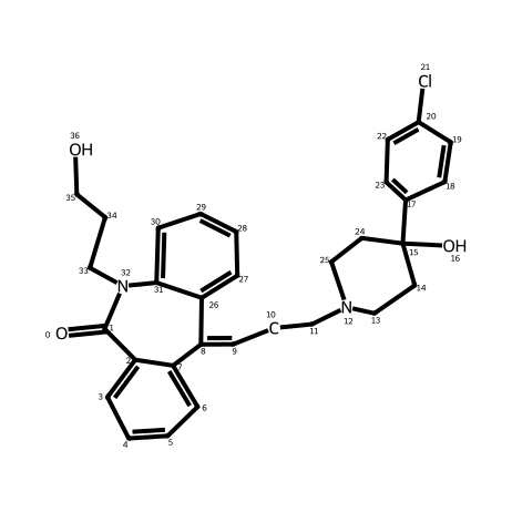 O=C1c2ccccc2/C(=C/CCN2CCC(O)(c3ccc(Cl)cc3)CC2)c2ccccc2N1CCCO